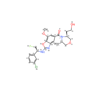 COc1cc(C(=O)N2C(C)COC[C@@H]2CCO)cc2nc(N[C@H](CF)c3cccc(Cl)c3)oc12